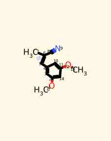 COc1cc(/C=C(/C)C#N)cc(OC)c1